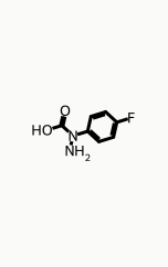 NN(C(=O)O)c1ccc(F)cc1